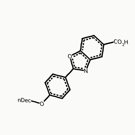 CCCCCCCCCCOc1ccc(-c2nc3cc(C(=O)O)ccc3o2)cc1